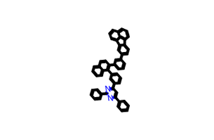 c1ccc(-c2cc(-c3cccc(-c4c(-c5cccc(-c6ccc7c(c6)-c6cccc8cccc-7c68)c5)ccc5ccccc45)c3)nc(-c3ccccc3)n2)cc1